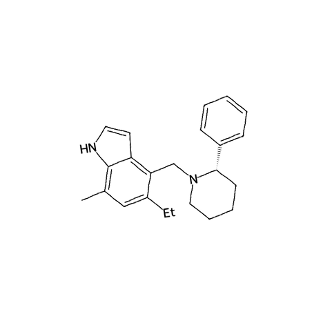 CCc1cc(C)c2[nH]ccc2c1CN1CCCC[C@H]1c1ccccc1